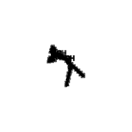 CCCCCCCCCCCCOC(CCCCCCCCCC)CCOCC(O)COc1ccc(-c2nc(-c3ccc(C)cc3C)nc(-c3ccc(C)cc3C)n2)c(O)c1